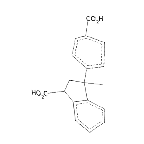 CC1(c2ccc(C(=O)O)cc2)CC(C(=O)O)c2ccccc21